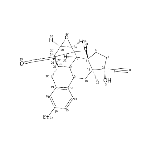 C#C[C@]1(O)CC[C@H]2[C@H]3C4C(C[C@@]21C)c1ccc(CC)cc1C[C@@]41CCC(=O)C=C1[C@H]1O[C@@H]31